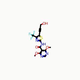 COc1ncnc(OC)c1C(=O)Nc1nc(C(F)(F)F)c(C#CCO)s1